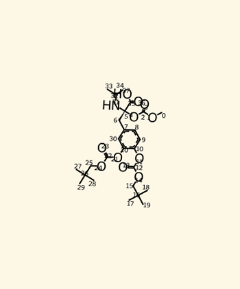 COC(=O)O[C@](Cc1ccc(OC(=O)OCC(C)(C)C)c(OC(=O)OCC(C)(C)C)c1)(NC(C)C)C(=O)O